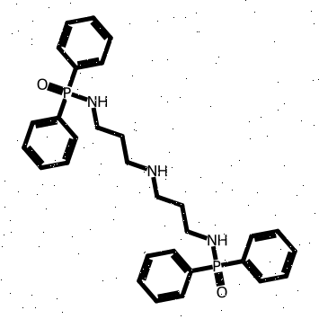 O=P(NCCCNCCCNP(=O)(c1ccccc1)c1ccccc1)(c1ccccc1)c1ccccc1